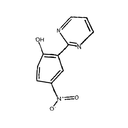 O=[N+]([O-])c1ccc(O)c(-c2ncccn2)c1